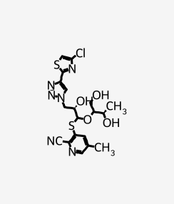 Cc1cnc(C#N)c(SC(OC(CO)[C@@H](C)O)[C@@H](O)Cn2cc(-c3nc(Cl)cs3)nn2)c1